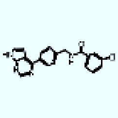 O=C(NCc1ccc(-c2ncnc3[nH]ccc23)cc1)c1cccc(Cl)c1